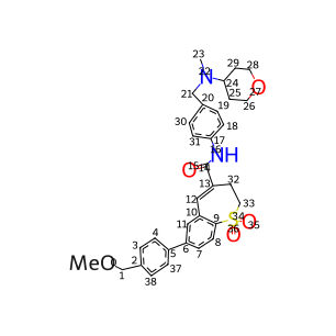 COCc1ccc(-c2ccc3c(c2)C=C(C(=O)Nc2ccc(CN(C)C4CCOCC4)cc2)CCS3(=O)=O)cc1